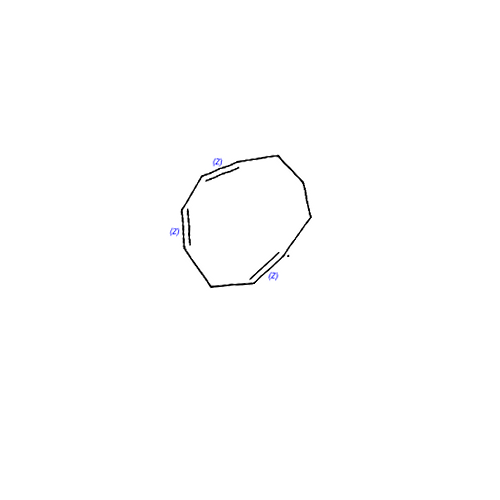 [C]1=C\C/C=C\C=C/CCC/1